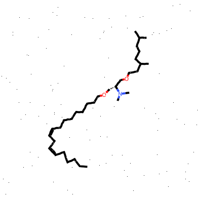 CCCCC/C=C\C/C=C\CCCCCCCCOC[C@H](COCCC(C)CCCC(C)C)N(C)C